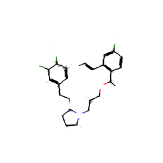 CCOC(=O)/C=C/c1cc(Cl)ccc1C(C)OC[C@H](O)CN1CCC[C@H]1CCC1=CC(Cl)C(Cl)C=C1